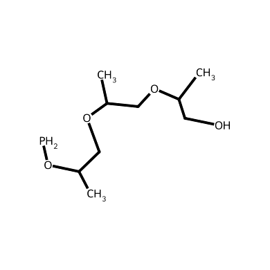 CC(COC(C)COC(C)CO)OP